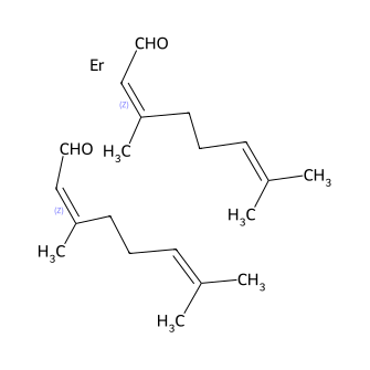 CC(C)=CCC/C(C)=C\C=O.CC(C)=CCC/C(C)=C\C=O.[Er]